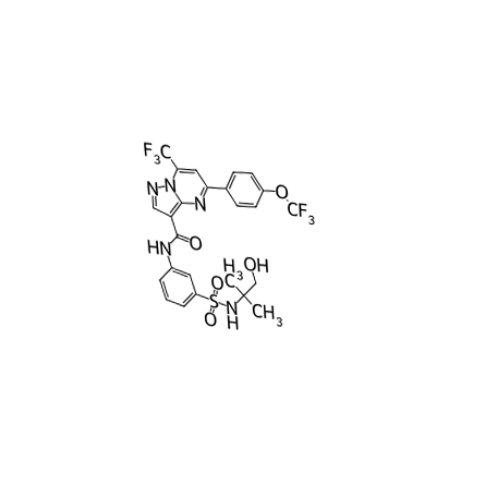 CC(C)(CO)NS(=O)(=O)c1cccc(NC(=O)c2cnn3c(C(F)(F)F)cc(-c4ccc(OC(F)(F)F)cc4)nc23)c1